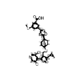 COc1cc(C(=O)O)cc(-c2noc(C34CCC(OCc5c(-c6c(Cl)cncc6Cl)noc5C5CC5)(CC3)CC4)n2)c1